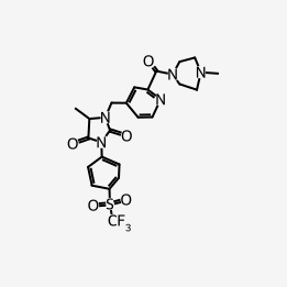 CC1C(=O)N(c2ccc(S(=O)(=O)C(F)(F)F)cc2)C(=O)N1Cc1ccnc(C(=O)N2CCN(C)CC2)c1